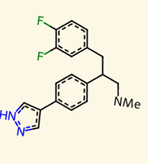 CNCC(Cc1ccc(F)c(F)c1)c1ccc(-c2cn[nH]c2)cc1